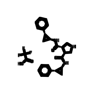 O=C(N[C@H]1C[C@@H]1c1ccccc1)[C@@H]1CNC[C@H]1C(=O)N[C@H]1C[C@@H]1c1ccccc1.O=C(O)C(F)(F)F